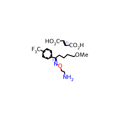 COCCCC/C(=N\OCCN)c1ccc(C(F)(F)F)cc1.O=C(O)/C=C/C(=O)O